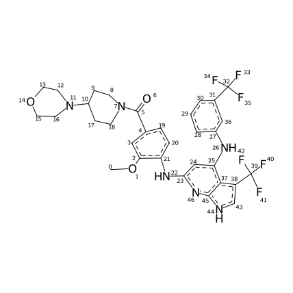 COc1cc(C(=O)N2CCC(N3CCOCC3)CC2)ccc1Nc1cc(Nc2cccc(C(F)(F)F)c2)c2c(C(F)(F)F)c[nH]c2n1